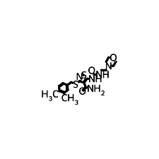 Cc1ccc(CSc2nsc(NC(=O)NCCN3CCOCC3)c2C(N)=O)cc1C